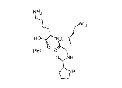 Br.NCCCC[C@H](NC(=O)[C@H](CCCCN)NC(=O)C1CCCN1)C(=O)O